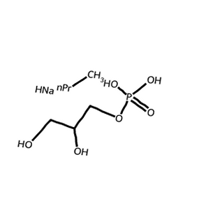 CCCC.O=P(O)(O)OCC(O)CO.[NaH]